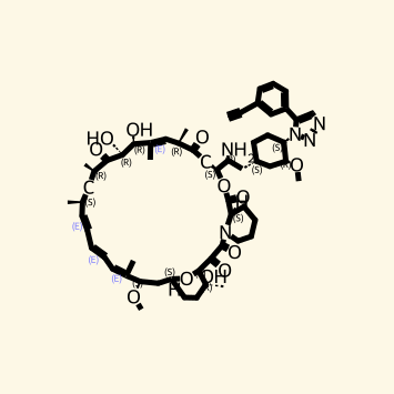 C#Cc1cccc(-c2cnnn2[C@H]2CC[C@@H](C[C@@H](N)[C@@H]3CC(=O)[C@H](C)/C=C(\C)[C@@H](O)[C@@H](O)C(=O)[C@H](C)C[C@H](C)/C=C/C=C/C=C(\C)[C@@H](OC)C[C@@H]4CC[C@@H](C)[C@@](O)(O4)C(=O)C(=O)N4CCCC[C@H]4C(=O)O3)C[C@H]2OC)c1